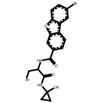 CC(C)CC(NC(=O)c1ccc2c(c1)oc1ccc(Br)cc12)C(=O)NC1(C#N)CC1